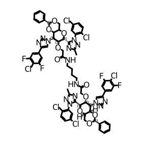 Cc1nc([C@H]2OC3CO[C@H](c4ccccc4)OC3[C@@H](n3cc(-c4cc(F)c(Cl)c(F)c4)nn3)[C@@H]2OCC(=O)NCCCCNC(=O)CO[C@@H]2[C@@H](n3cc(-c4cc(F)c(Cl)c(F)c4)nn3)[C@H]3O[C@@H](c4ccccc4)OC[C@H]3O[C@H]2c2nc(C)nn2-c2cc(Cl)ccc2Cl)n(-c2cc(Cl)ccc2Cl)n1